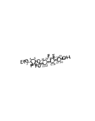 CCOCc1ccc(OC(=O)C2CCC(c3ccc(-c4ccc(O)cc4)c(F)c3F)CC2)c(F)c1F